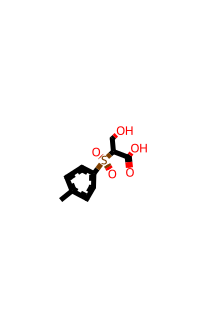 Cc1ccc(S(=O)(=O)C(CO)C(=O)O)cc1